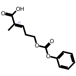 C/C(=C\CCOC(=O)Oc1ccccc1)C(=O)O